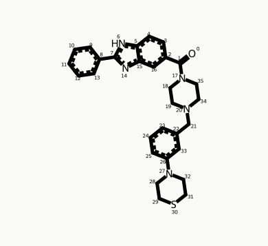 O=C(c1ccc2[nH]c(-c3ccccc3)nc2c1)N1CCN(Cc2cccc(N3CCSCC3)c2)CC1